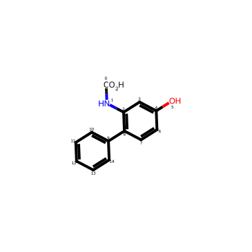 O=C(O)Nc1cc(O)ccc1-c1ccccc1